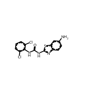 Nc1ccc2nc(NC(=O)Nc3c(Cl)cccc3Cl)sc2c1